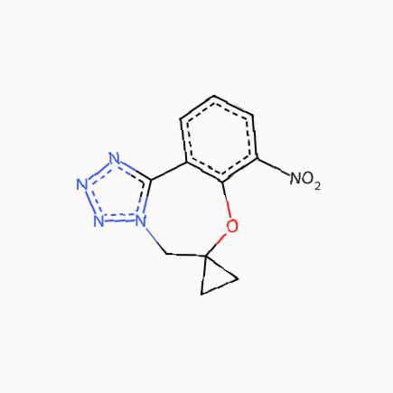 O=[N+]([O-])c1cccc2c1OC1(CC1)Cn1nnnc1-2